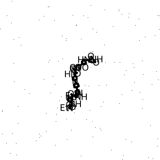 CCN(C)S(=O)(=O)Nc1ccc(F)c(C(=O)c2c[nH]c3ncc(-c4ccc(N5CCC(NC(=O)C(OC=O)N6CCC(c7ccc(NC8CCC(=O)NC8=O)cc7)CC6)CC5)cc4)cc23)c1F